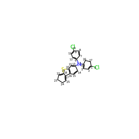 ClC1=CC=C(N(c2ccc(Cl)cc2)c2ccc3c4c(sc3c2)=CCCC=4)CC1